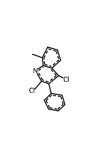 Cc1cccc2c(Cl)c(-c3ccccc3)c(Cl)nc12